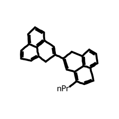 CCCc1ccc2cccc3c2c1C=C(C1=Cc2cccc4cccc(c24)C1)C3